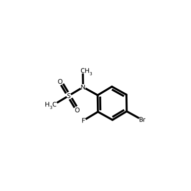 CN(c1ccc(Br)cc1F)S(C)(=O)=O